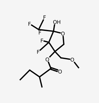 CCC(C)C(=O)OC1(COC)COC(O)(C(F)(F)F)C1(F)F